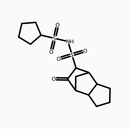 O=C1C2CC(C3CCCC23)C1S(=O)(=O)NS(=O)(=O)C1CCCC1